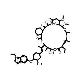 CCC1/C=C(\C)CC(C)CC(OC)C2C[N+](O)(C(=O)C(=O)C3CCCCC3C(=O)CC(C(C)=CC3CCC(Oc4ccc5c(ccn5CC)c4)C(O)C3)C(C)C(O)CC1=O)C(C)CC2OC